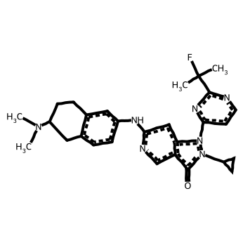 CN(C)C1CCc2cc(Nc3cc4c(cn3)c(=O)n(C3CC3)n4-c3ccnc(C(C)(C)F)n3)ccc2C1